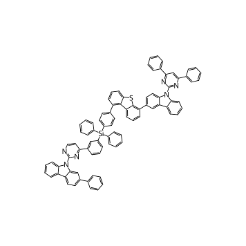 c1ccc(-c2ccc3c4ccccc4n(-c4nccc(-c5cccc([Si](c6ccccc6)(c6ccccc6)c6ccc(-c7cccc8sc9c(-c%10ccc%11c(c%10)c%10ccccc%10n%11-c%10nc(-c%11ccccc%11)cc(-c%11ccccc%11)n%10)cccc9c78)cc6)c5)n4)c3c2)cc1